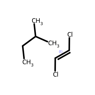 CCC(C)C.Cl/C=C/Cl